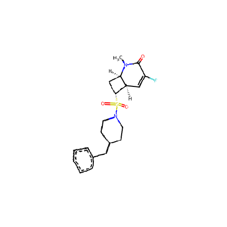 CN1C(=O)C(F)=C[C@@H]2[C@H]1C[C@H]2S(=O)(=O)N1CCC(Cc2ccccc2)CC1